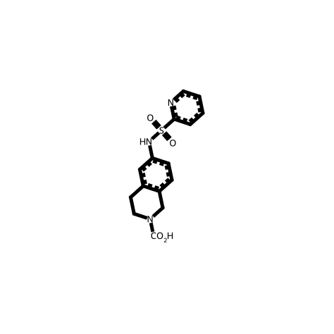 O=C(O)N1CCc2cc(NS(=O)(=O)c3ccccn3)ccc2C1